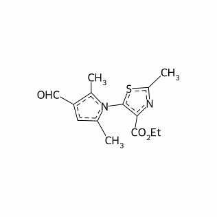 CCOC(=O)c1nc(C)sc1-n1c(C)cc(C=O)c1C